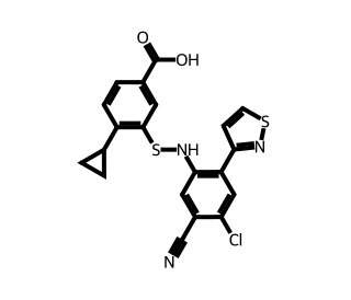 N#Cc1cc(NSc2cc(C(=O)O)ccc2C2CC2)c(-c2ccsn2)cc1Cl